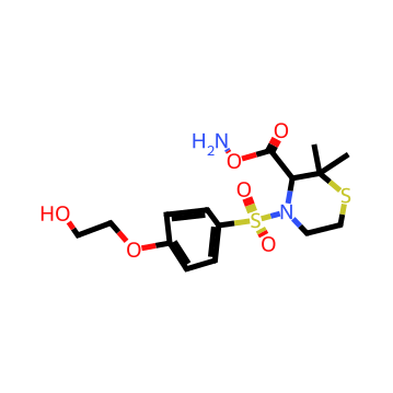 CC1(C)SCCN(S(=O)(=O)c2ccc(OCCO)cc2)C1C(=O)ON